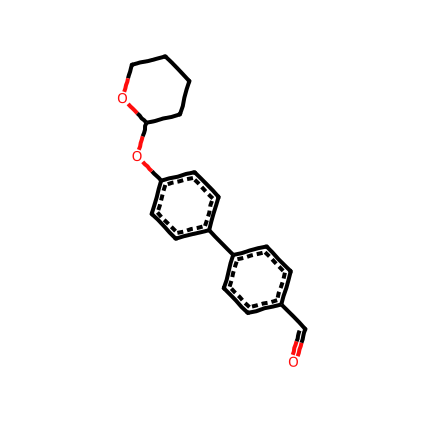 O=Cc1ccc(-c2ccc(OC3CCCCO3)cc2)cc1